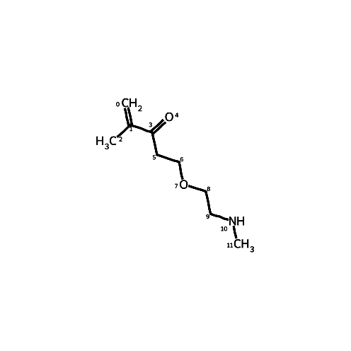 C=C(C)C(=O)CCOCCNC